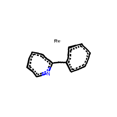 [Re].c1ccc(-c2ccccn2)cc1